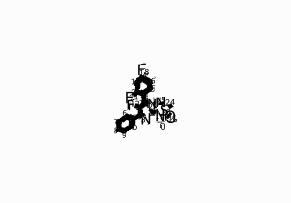 CN(c1nc(-c2ccccc2)c(F)c(-c2ccc(F)cc2F)n1)S(C)(=N)=O